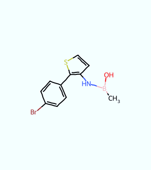 CB(O)Nc1ccsc1-c1ccc(Br)cc1